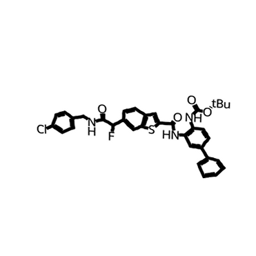 CC(C)(C)OC(=O)Nc1ccc(-c2ccccc2)cc1NC(=O)c1cc2ccc(C(F)C(=O)NCc3ccc(Cl)cc3)cc2s1